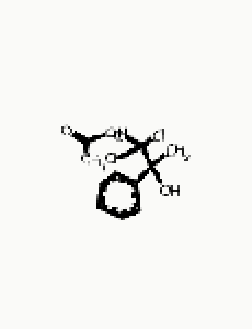 CC(=O)O.CC(O)(c1ccccc1)C(Cl)(Cl)Cl